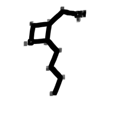 CCCCC1OCC1CO